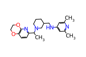 Cc1cc(NCC2CCCN(C(C)c3ccc4c(n3)OCCO4)C2)cc(C)n1